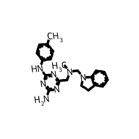 Cc1ccc(Nc2nc(N)nc(CN(C)CN3CCc4ccccc43)n2)cc1